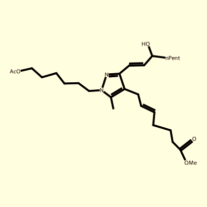 CCCCCC(O)C=Cc1nn(CCCCCCOC(C)=O)c(C)c1CC=CCCCC(=O)OC